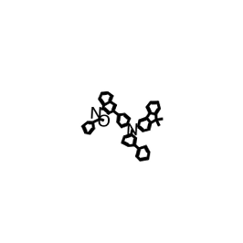 CC1(C)c2ccccc2-c2cc(N(c3ccc(-c4cc5ccccc5c5nc(-c6ccccc6)oc45)cc3)c3cccc(-c4ccccc4)c3)ccc21